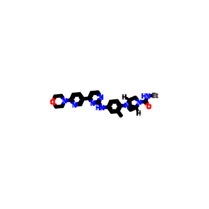 CCNC(=O)N1C[C@@H]2C[C@H]1CN2c1ccc(Nc2nccc(-c3ccc(N4CCOCC4)nc3)n2)cc1C